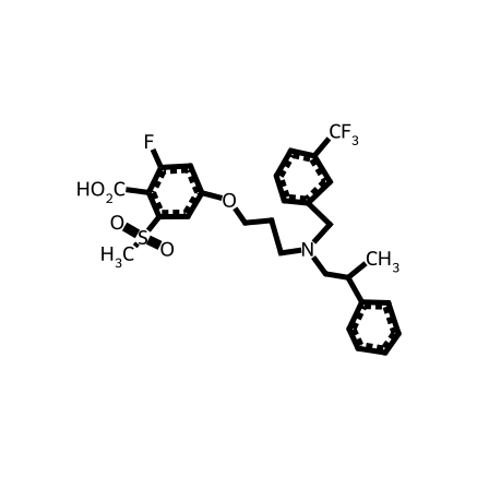 CC(CN(CCCOc1cc(F)c(C(=O)O)c(S(C)(=O)=O)c1)Cc1cccc(C(F)(F)F)c1)c1ccccc1